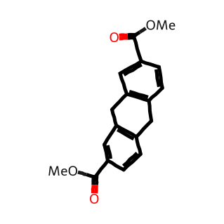 COC(=O)c1ccc2c(c1)Cc1cc(C(=O)OC)ccc1C2